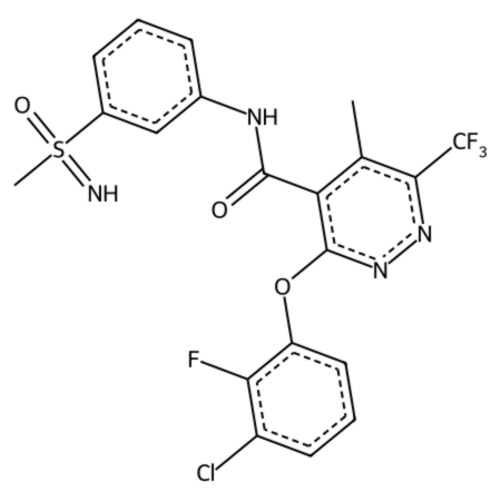 Cc1c(C(F)(F)F)nnc(Oc2cccc(Cl)c2F)c1C(=O)Nc1cccc(S(C)(=N)=O)c1